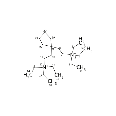 CC[N+](CC)(CC)CCC1(CC[N+](CC)(CC)CC)CCCC1